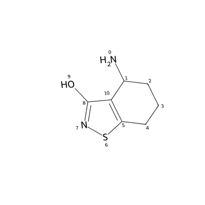 NC1CCCc2snc(O)c21